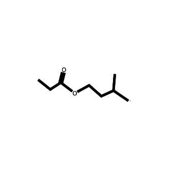 [CH2]C(C)CCOC(=O)CC